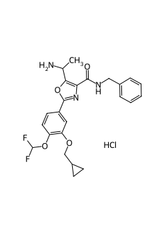 CC(N)c1oc(-c2ccc(OC(F)F)c(OCC3CC3)c2)nc1C(=O)NCc1ccccc1.Cl